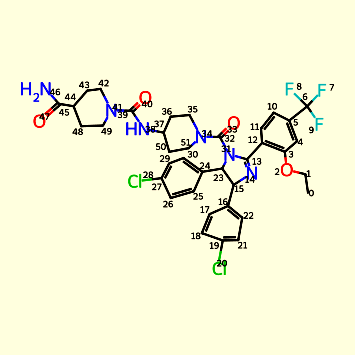 CCOc1cc(C(F)(F)F)ccc1C1=NC(c2ccc(Cl)cc2)C(c2ccc(Cl)cc2)N1C(=O)N1CCC(NC(=O)N2CCC(C(N)=O)CC2)CC1